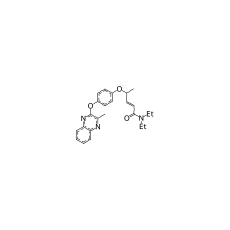 CCN(CC)C(=O)C=CC(C)Oc1ccc(Oc2nc3ccccc3nc2C)cc1